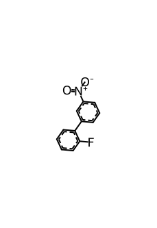 O=[N+]([O-])c1cccc(-c2ccccc2F)c1